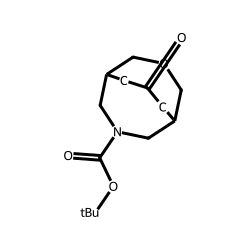 CC(C)(C)OC(=O)N1CC2COCC(CC(=O)C2)C1